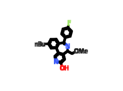 CCCCc1ccc2c(c1)-c1cnc(O)cc1C(COC)N=C2c1ccc(F)cc1